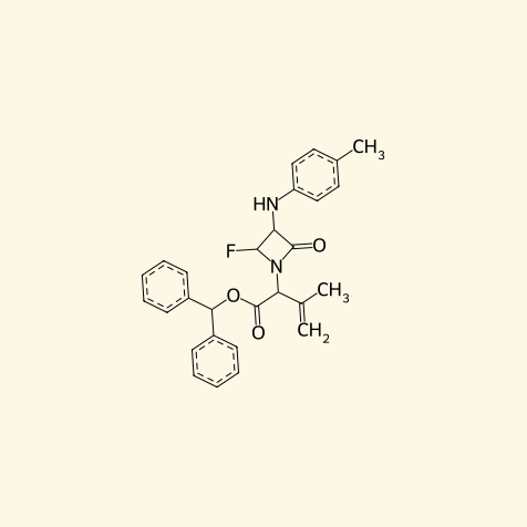 C=C(C)C(C(=O)OC(c1ccccc1)c1ccccc1)N1C(=O)C(Nc2ccc(C)cc2)C1F